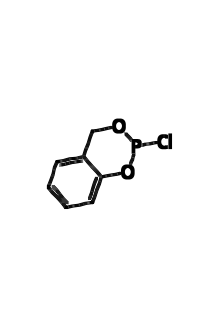 ClP1OCc2ccccc2O1